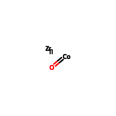 [O]=[Co].[Ti].[Zr]